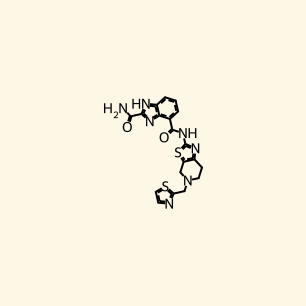 NC(=O)c1nc2c(C(=O)Nc3nc4c(s3)CN(Cc3nccs3)CC4)cccc2[nH]1